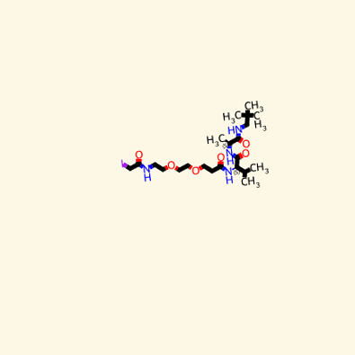 CC(C)[C@H](NC(=O)CCOCCOCCNC(=O)CI)C(=O)N[C@@H](C)C(=O)NCC(C)(C)C